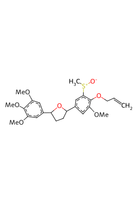 C=CCOc1c(OC)cc(C2CCC(c3cc(OC)c(OC)c(OC)c3)O2)cc1[S+](C)[O-]